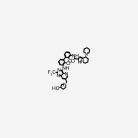 O=C(Nc1cccc(-c2cccc(Nc3nc(C(F)(F)F)nc4cc(CN5CC[C@@H](O)C5)cnc34)c2Cl)c1Cl)c1cc2n(n1)CCC[C@@H]2N1CCCCC1